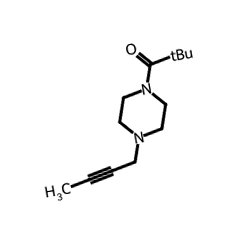 CC#CCN1CCN(C(=O)C(C)(C)C)CC1